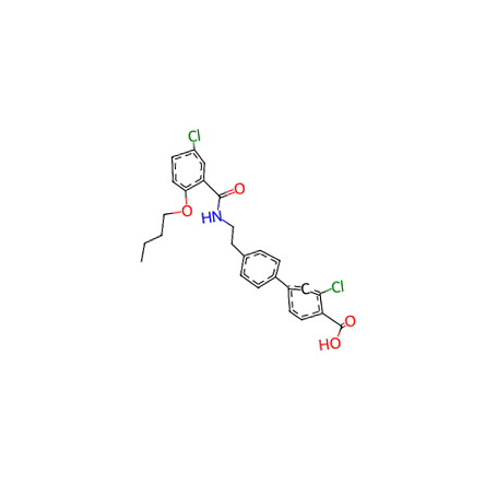 CCCCOc1ccc(Cl)cc1C(=O)NCCc1ccc(-c2ccc(C(=O)O)c(Cl)c2)cc1